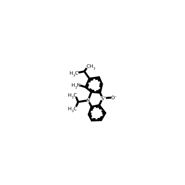 CC(C)c1ccc2c(c1N)N(C(C)C)c1ccccc1[S+]2[O-]